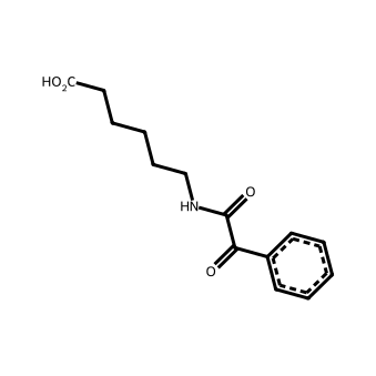 O=C(O)CCCCCNC(=O)C(=O)c1ccccc1